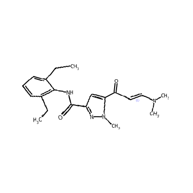 CCc1cccc(CC)c1NC(=O)c1cc(C(=O)/C=C/N(C)C)n(C)n1